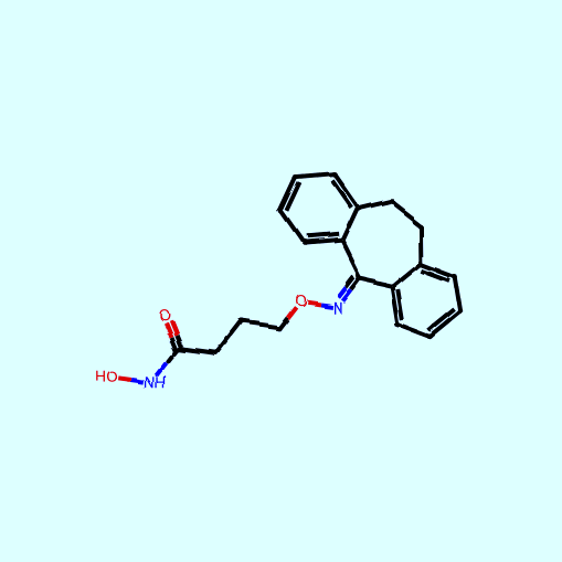 O=C(CCCON=C1c2ccccc2CCc2ccccc21)NO